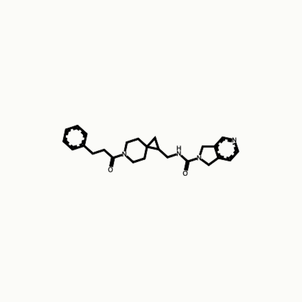 O=C(CCc1ccccc1)N1CCC2(CC1)CC2CNC(=O)N1Cc2ccncc2C1